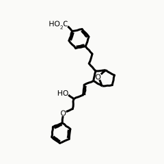 O=C(O)c1ccc(CCC2C3CCC(O3)C2C=CC(O)COc2ccccc2)cc1